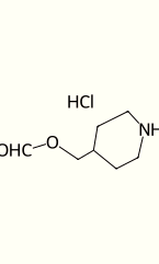 Cl.O=COCC1CCNCC1